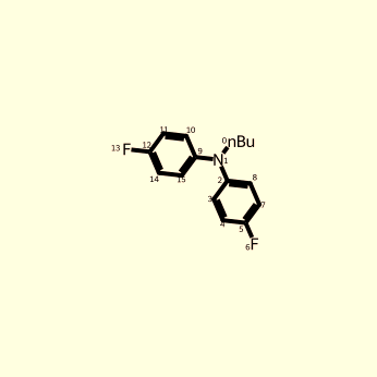 CCCCN(c1ccc(F)cc1)c1ccc(F)cc1